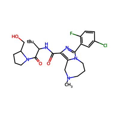 CN1CCCn2c(-c3cc(Cl)ccc3F)nc(C(=O)NC(C(=O)N3CCCC3CO)C(C)(C)C)c2C1